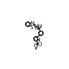 CCOC(=O)c1cccc(-c2cccc(/C(C)=N/Nc3nc4ccccc4s3)c2)n1